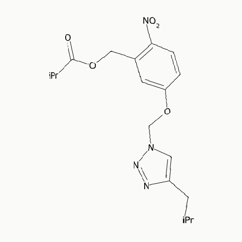 CC(C)Cc1cn(COc2ccc([N+](=O)[O-])c(COC(=O)C(C)C)c2)nn1